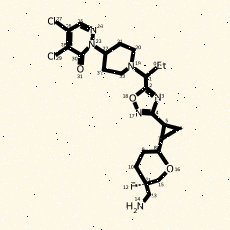 CCC(c1nc(C2CC2C2CC[C@](F)(CN)CO2)no1)N1CCC(n2ncc(Cl)c(Cl)c2=O)CC1